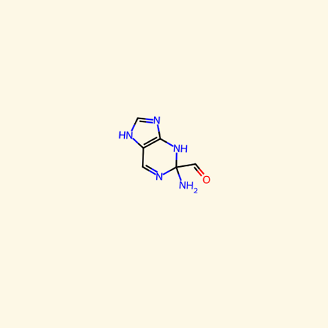 NC1(C=O)N=Cc2[nH]cnc2N1